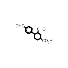 O=Cc1ccc(C2CCC(C(=O)O)CC2C=O)cc1